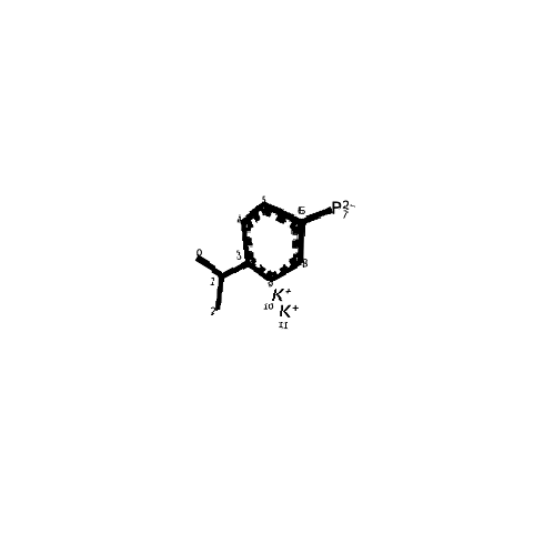 CC(C)c1ccc([P-2])cc1.[K+].[K+]